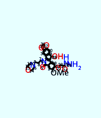 COc1cc2c(=O)n(CCCN3CCOCC3)c3c(c2cc1OCC(=O)NN)C(O)c1cc2c(cc1-3)OCO2